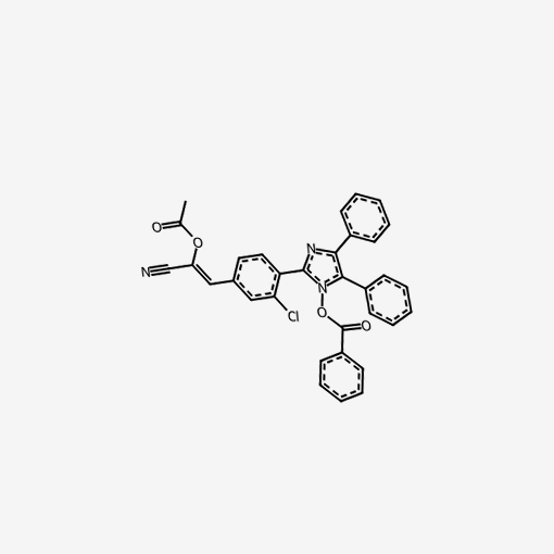 CC(=O)OC(C#N)=Cc1ccc(-c2nc(-c3ccccc3)c(-c3ccccc3)n2OC(=O)c2ccccc2)c(Cl)c1